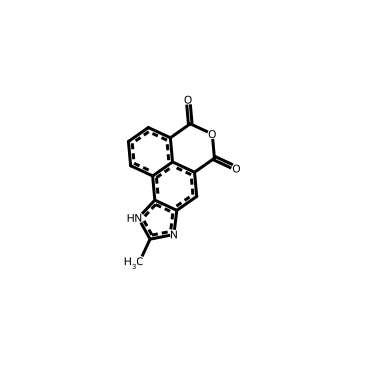 Cc1nc2cc3c4c(cccc4c2[nH]1)C(=O)OC3=O